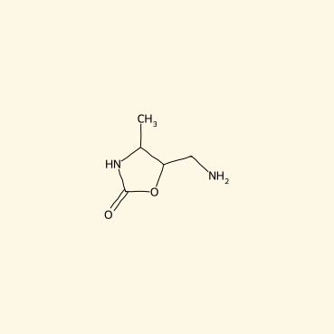 CC1NC(=O)OC1CN